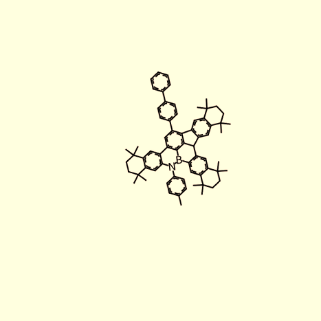 Cc1ccc(N2B3c4cc5c(cc4C4c6cc7c(cc6-c6c(-c8ccc(-c9ccccc9)cc8)cc(c3c64)-c3cc4c(cc32)C(C)(C)CCC4(C)C)C(C)(C)CCC7(C)C)C(C)(C)CCC5(C)C)cc1